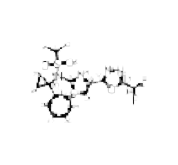 CC(C)S(=O)(=O)N(c1nc(-c2nnc(C(F)F)o2)cs1)C1(c2ccccc2)CC1